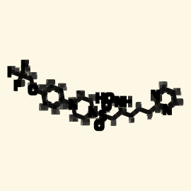 O=S(=O)(CC(CCCc1ncccn1)NO)N1CCN(c2ccc(OCC(F)(F)F)cc2)CC1